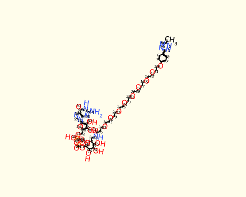 Cc1nnc(-c2ccc(OCCOCCOCCOCCOCCOCCOCCOCCOCCC(=O)NCC3O[C@H](OP(=O)(O)OP(=O)(O)OC[C@H]4O[C@@H](n5cnc6c(=O)[nH]c(N)nc65)[C@@H](O)[C@H]4O)C(O)C(O)[C@@H]3O)cc2)nn1